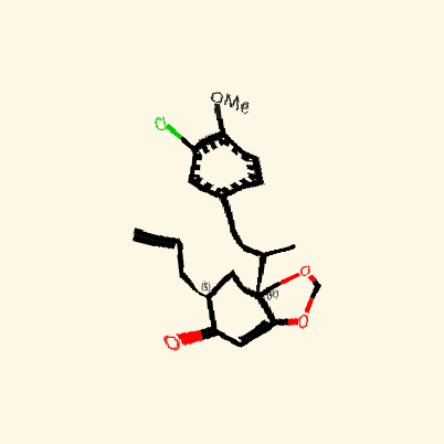 C=CC[C@H]1C[C@]2(C(C)Cc3ccc(OC)c(Cl)c3)OCOC2=CC1=O